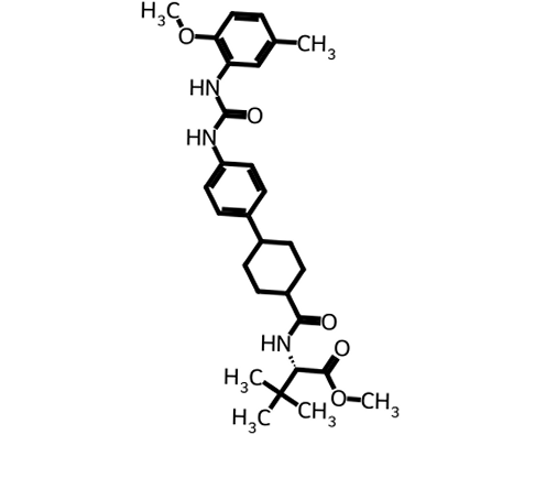 COC(=O)[C@@H](NC(=O)C1CCC(c2ccc(NC(=O)Nc3cc(C)ccc3OC)cc2)CC1)C(C)(C)C